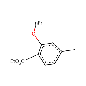 CCCOc1cc(C)ccc1C(=O)OCC